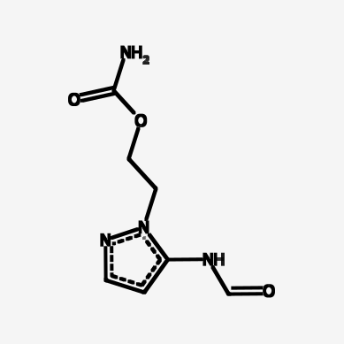 NC(=O)OCCn1nccc1NC=O